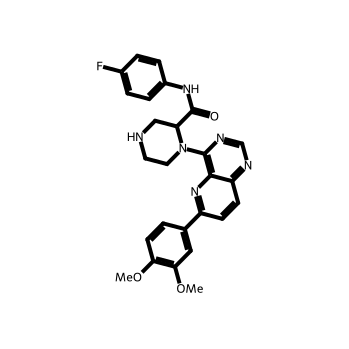 COc1ccc(-c2ccc3ncnc(N4CCNCC4C(=O)Nc4ccc(F)cc4)c3n2)cc1OC